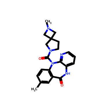 Cc1ccc2c(c1)C(=O)Nc1cccnc1N2C(=O)N1CCC2(CN(C)C2)C1